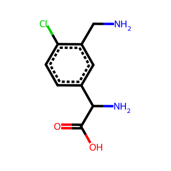 NCc1cc(C(N)C(=O)O)ccc1Cl